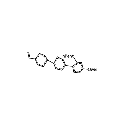 C=Cc1ccc(-c2ccc(-c3ccc(OC)cc3CCCCC)cc2)cc1